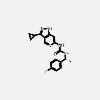 C[C@@H](NC(=O)Nc1cc2[nH]nc(C3CC3)c2cn1)c1ccc(F)cc1